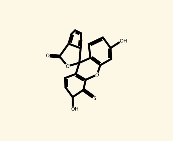 O=C1OC2(C3=C(Oc4cc(O)ccc42)C(=S)C(O)C=C3)c2ccccc21